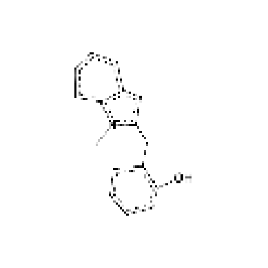 Cn1c(Cc2ccccc2O)cc2ccccc21